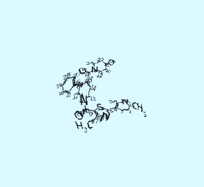 Cc1ccc(-c2nc(C)c(C(=O)N3CC[C@@H](C(=O)N4CCC(=O)CC4)[C@H](c4ccccc4)C3)s2)cn1